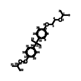 CC(C)OCCOc1ccc(C(C)(C)c2ccc(OOC(C)C)cc2)cc1